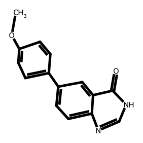 COc1ccc(-c2ccc3nc[nH]c(=O)c3c2)cc1